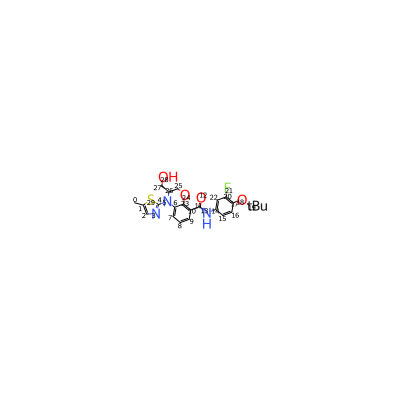 Cc1cnc(N2c3cccc(C(=O)Nc4ccc(OC(C)(C)C)c(F)c4)c3OC[C@@H]2CO)s1